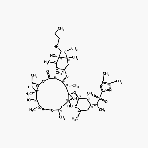 CCCNC[C@]1(O)[C@H](C)O[C@@H](O[C@H]2[C@H](C)[C@@H](O[C@@H]3O[C@H](C)C[C@H](N(C)S(=O)(=O)c4cn(C)c(C)n4)[C@H]3O)[C@](C)(O)C[C@@H](C)CN[C@H](C)[C@@H](O)[C@](C)(O)[C@@H](CC)OC(=O)[C@@H]2C)C[C@@]1(C)OC